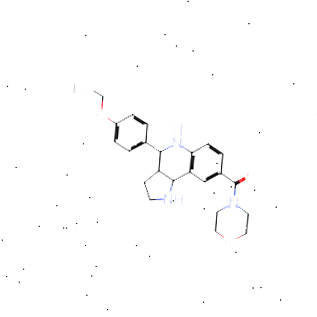 CCOc1ccc(C2Nc3ccc(C(=O)N4CCOCC4)cc3C3NCCC23)cc1